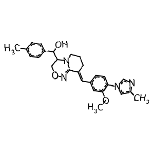 COc1cc(/C=C2\CCCN3C2=NOCC3C(O)c2ccc(C)cc2)ccc1-n1cnc(C)c1